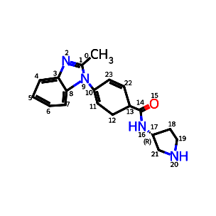 Cc1nc2ccccc2n1C1=CCC(C(=O)N[C@@H]2CCNC2)C=C1